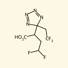 O=C(O)C(CC(F)F)C1(CC(F)(F)F)N=NN=N1